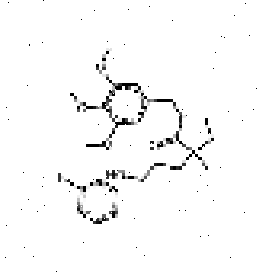 COc1cc(CN2CCC(C)(CCCO)C2=O)cc(OC)c1OC.Fc1ccccc1